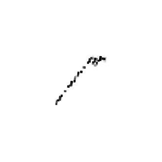 CCCCCCCCCCCCCCCCCCC/C=C\C(=O)O